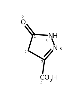 O=C1CC(C(=O)O)=NN1